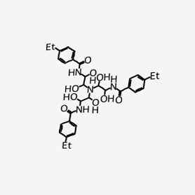 CCc1ccc(C(=O)NC(O)C(O)N(C(O)C(O)NC(=O)c2ccc(CC)cc2)C(O)C(O)NC(=O)c2ccc(CC)cc2)cc1